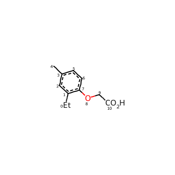 CCc1cc(C)ccc1OCC(=O)O